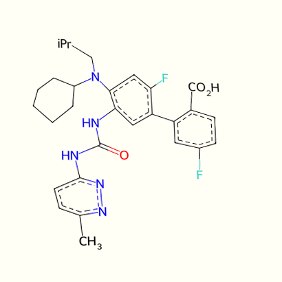 Cc1ccc(NC(=O)Nc2cc(-c3cc(F)ccc3C(=O)O)c(F)cc2N(CC(C)C)C2CCCCC2)nn1